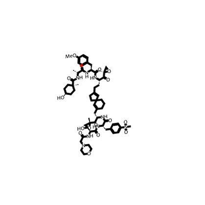 COc1ccc(C[C@H](NC(=O)[C@@H](C)NC(=O)[C@]2(C)CC[C@@H](O)CC2)C(=O)N[C@@H](CCC2=CC3(C=C(C[C@H](NC(=O)[C@H](Cc4ccc(S(C)(=O)=O)cc4)NC(=O)[C@H](CO)NC(=O)CN4CCOCC4)C(=O)[C@@]4(C)CO4)CCC3)CC2)C(=O)[C@@]2(C)CO2)cc1